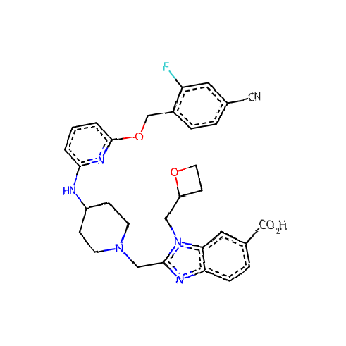 N#Cc1ccc(COc2cccc(NC3CCN(Cc4nc5ccc(C(=O)O)cc5n4CC4CCO4)CC3)n2)c(F)c1